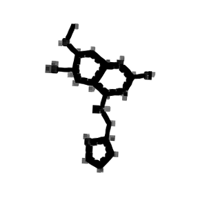 COc1cc2nc(Cl)nc(NCc3ccco3)c2cc1O